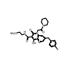 COCCNC(=O)c1c(O)c2ncc(Cc3ccc(F)cc3)cc2n(CC(=O)N2CCCCC2)c1=O